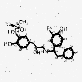 CS(=O)(=O)Nc1cc(CC(O)CNC(Cc2ccccc2)c2ccc(O)c(F)c2)ccc1O